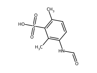 Cc1ccc(NC=O)c(C)c1S(=O)(=O)O